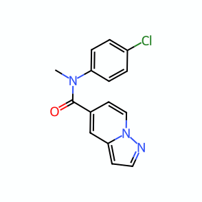 CN(C(=O)c1ccn2nccc2c1)c1ccc(Cl)cc1